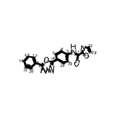 O=C(Nc1ccc(-c2nnc(-c3ccccc3)o2)cc1)c1ncco1